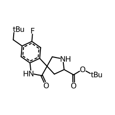 CC(C)(C)Cc1cc2c(cc1F)C1(CNC(C(=O)OC(C)(C)C)C1)C(=O)N2